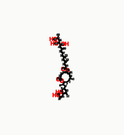 C/C1=C/CC(C(C)C/C(C)=C/C(C)C(O)CC(C)O)OC(=O)CCCC(OC(=O)/C=C/C(C)=C/C(C)=C/C=C/C(C)=C/C(O)C(O)CC(C)O)C(C)C1